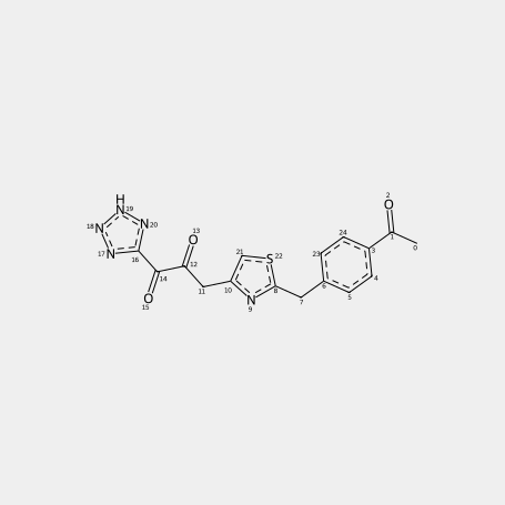 CC(=O)c1ccc(Cc2nc(CC(=O)C(=O)c3nn[nH]n3)cs2)cc1